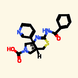 O=C(NC1=N[C@@]2(c3cccnc3)CN(C(=O)O)C[C@H]2CS1)c1ccccc1